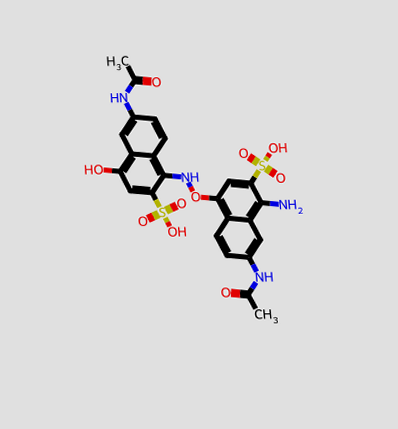 CC(=O)Nc1ccc2c(NOc3cc(S(=O)(=O)O)c(N)c4cc(NC(C)=O)ccc34)c(S(=O)(=O)O)cc(O)c2c1